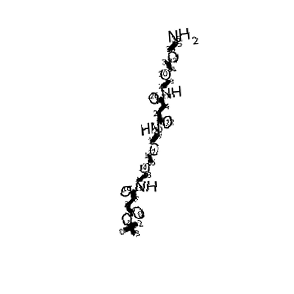 CC(C)(C)OC(=O)CCC(=O)NCCOCCOCCNC(=O)CCC(=O)NCCOCCOCCN